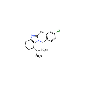 CCOC(=O)C(C(=O)OCC)C1CCCc2nc(C(C)(C)C)n(Cc3ccc(Cl)cc3)c21